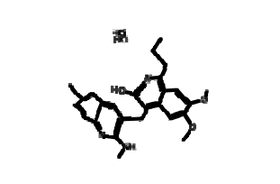 CCCc1nc(O)c(Cc2cc3cc(C)ccc3nc2NC)c2cc(OC)c(OC)cc12.Cl.Cl